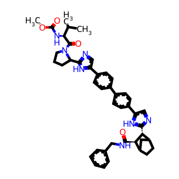 COC(=O)N[C@H](C(=O)N1CCCC1c1ncc(-c2ccc(-c3ccc(-c4cnc([C@@H]5C6CCC(C6)[C@H]5C(=O)NCc5ccccc5)[nH]4)cc3)cc2)[nH]1)C(C)C